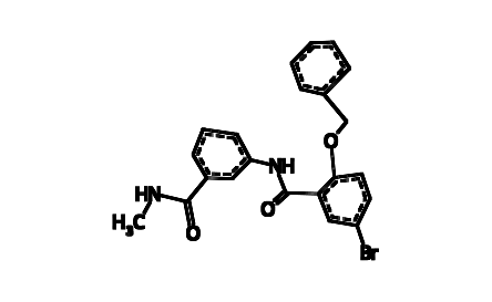 CNC(=O)c1cccc(NC(=O)c2cc(Br)ccc2OCc2ccccc2)c1